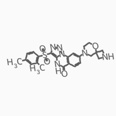 Cc1ccc(S(=O)(=O)c2nnn3c2[nH]c(=O)c2ccc(N4CCOC5(CNC5)C4)cc23)c(C)c1